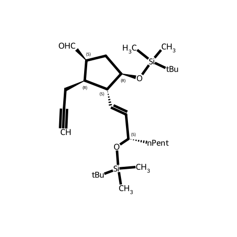 C#CC[C@@H]1[C@@H](C=C[C@H](CCCCC)O[Si](C)(C)C(C)(C)C)[C@H](O[Si](C)(C)C(C)(C)C)C[C@@H]1C=O